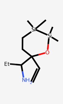 C=CC1(C(N)CC)CC[Si](C)(C)[Si](C)(C)O1